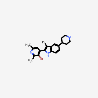 Cc1cc(-c2[nH]c3ccc(C4CCNCC4)cc3c2C(C)C)c(Br)c(C)n1